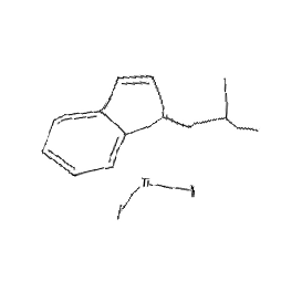 CC(C)C[C]1C=Cc2ccccc21.[I][Ti][I]